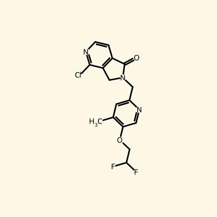 Cc1cc(CN2Cc3c(ccnc3Cl)C2=O)ncc1OCC(F)F